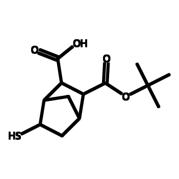 CC(C)(C)OC(=O)C1C2CC(S)C(C2)C1C(=O)O